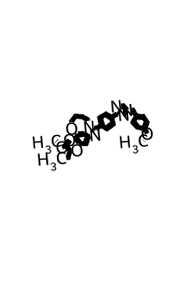 CCC(Oc1cc2c3c(c1)nc(-c1ccc(-c4ncn(Cc5ccc(OC)cc5)n4)cc1)n3CCCCO2)C(=O)OC